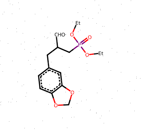 CCOP(=O)(CC([C]=O)Cc1ccc2c(c1)OCO2)OCC